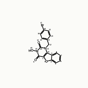 O=c1c2oc3ccccc3c2n(Cc2ccc(Br)cc2)c(=O)n1O